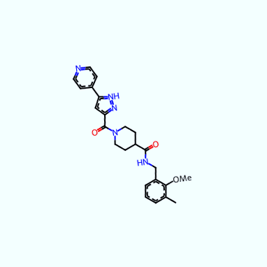 COc1c(C)cccc1CNC(=O)C1CCN(C(=O)c2cc(-c3ccncc3)[nH]n2)CC1